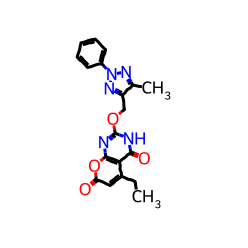 CCc1cc(=O)oc2nc(OCc3nn(-c4ccccc4)nc3C)[nH]c(=O)c12